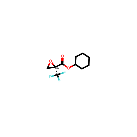 O=C(OC1CCCCC1)[C@@]1(C(F)(F)F)CO1